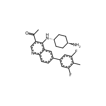 CC(=O)c1cnc2ccc(-c3cc(F)c(C)c(F)c3)cc2c1N[C@H]1CC[C@H](N)CC1